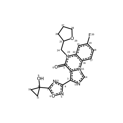 O=c1c2c(-c3noc(C4(O)CC4)n3)ncn2c2ccc(F)cc2n1CC1CCCO1